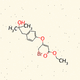 CCOC(=O)C=C(CBr)Oc1ccc(CC(C)(C)O)cc1